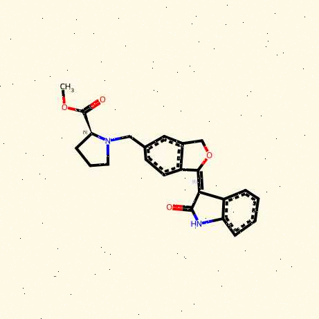 COC(=O)[C@@H]1CCCN1Cc1ccc2c(c1)CO/C2=C1/C(=O)Nc2ccccc21